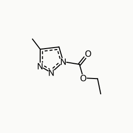 CCOC(=O)n1cc(C)nn1